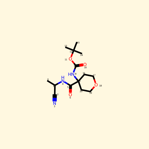 CC(C#N)NC(=O)C1(NC(=O)OC(C)(C)C)CCOCC1